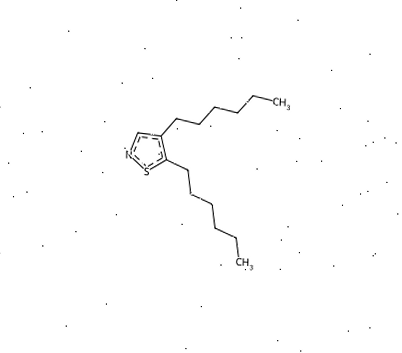 CCCCCCc1cnsc1CCCCCC